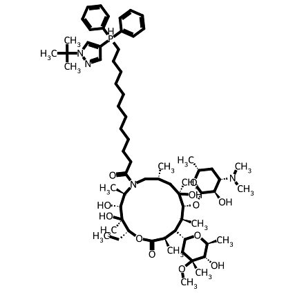 CC[C@H]1OC(=O)[C@H](C)C([C@H]2C[C@@](C)(OC)[C@@H](O)[C@H](C)O2)[C@H](C)[C@@H](O[C@@H]2O[C@H](C)C[C@H](N(C)C)[C@H]2O)[C@](C)(O)C[C@@H](C)CN(C(=O)CCCCCCCCCCC[PH](c2ccccc2)(c2ccccc2)c2cnn(C(C)(C)C)c2)[C@H](C)[C@@H](O)[C@]1(C)O